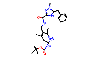 CC1=C(CNC(=O)C2=NN(C)C(CC3=CCCC=C3)N2)C(C)NC(NC(O)OC(C)(C)C)C1